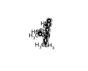 Cc1cc(C[C@@H](OC(=O)N2CCC(N3CCc4ccccc4NC3=O)CC2)C(=O)N2CCN(C(C)C)CC2)cc(C)c1O